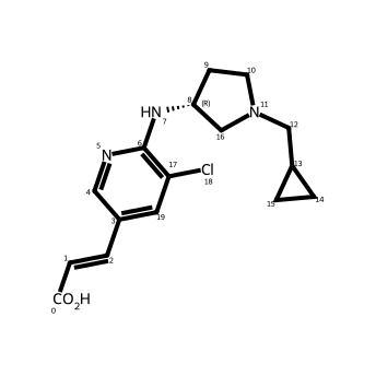 O=C(O)C=Cc1cnc(N[C@@H]2CCN(CC3CC3)C2)c(Cl)c1